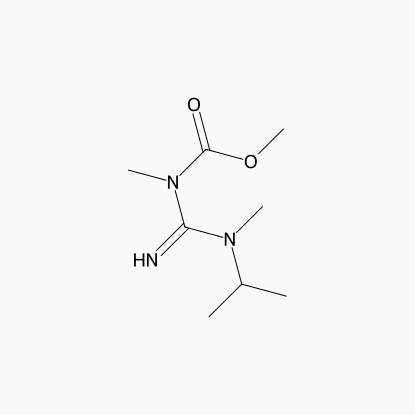 COC(=O)N(C)C(=N)N(C)C(C)C